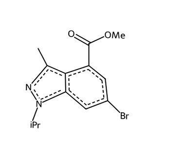 COC(=O)c1cc(Br)cc2c1c(C)nn2C(C)C